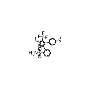 CCn1nc(-c2ccccc2S(N)(=O)=O)c(-c2ccc(SC)cc2)c1C(F)(F)F